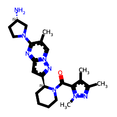 Cc1cn2nc([C@@H]3CCCCN3C(=O)c3c(C)c(C)nn3C)cc2nc1N1CC[C@H](N)C1